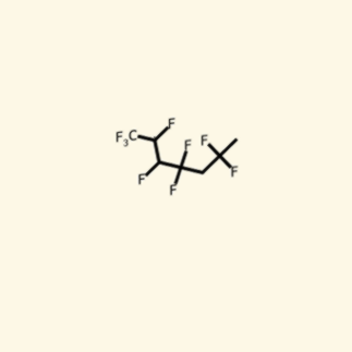 CC(F)(F)CC(F)(F)C(F)[C](F)C(F)(F)F